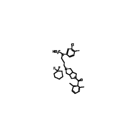 Cc1ccc(N(CCCN2CC3CN(C(=O)c4c(C)cccc4C)CC3C2)C(=O)O)cc1Cl.FC1(F)CCCCC1